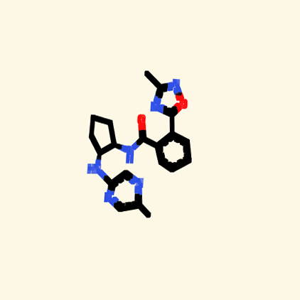 Cc1cnc(N[C@H]2CCC[C@H]2NC(=O)c2ccccc2-c2nc(C)no2)cn1